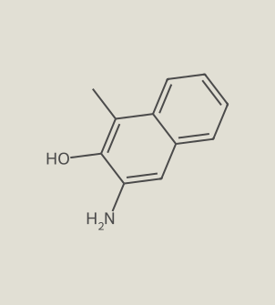 Cc1c(O)c(N)cc2ccccc12